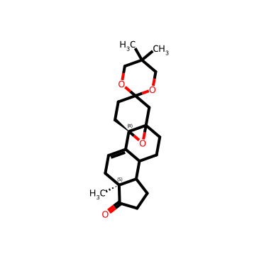 CC1(C)COC2(CC[C@]34OC3(CCC3C4=CC[C@]4(C)C(=O)CCC34)C2)OC1